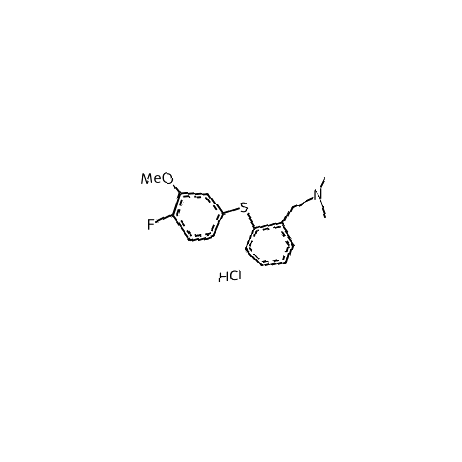 COc1cc(Sc2ccccc2CN(C)C)ccc1F.Cl